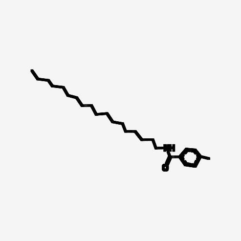 CCCCCCCCCCCCCCCCCCNC(=O)c1ccc(C)cc1